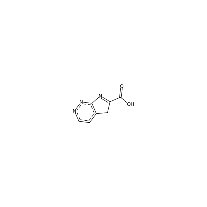 O=C(O)C1=Nc2nnccc2C1